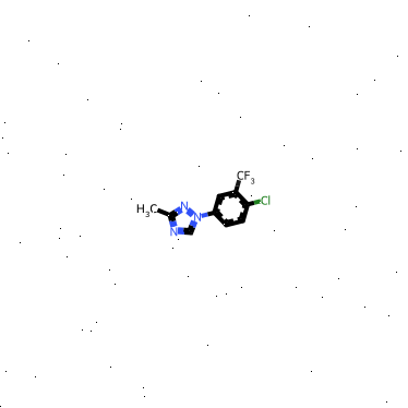 Cc1ncn(-c2ccc(Cl)c(C(F)(F)F)c2)n1